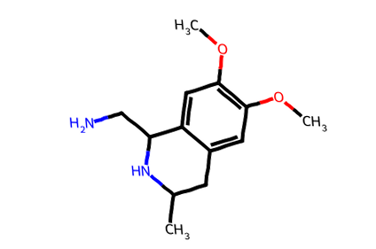 COc1cc2c(cc1OC)C(CN)NC(C)C2